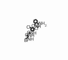 N=C(CBr)C(=O)NC(=O)Nc1cc(Cl)c(OC(=N)C2=C(C(N)=O)CCCC2)c(Cl)c1